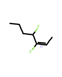 C/C=C(/F)C(F)CCC